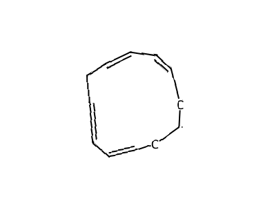 [CH]1CC=CC=CCC=CC=CC1